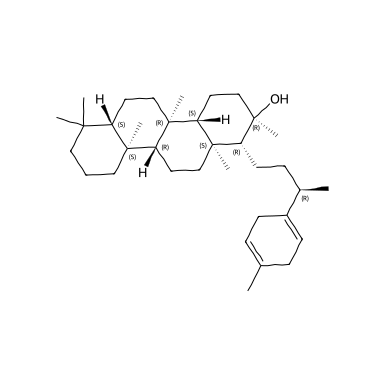 CC1=CCC([C@H](C)CC[C@@H]2[C@@]3(C)CC[C@H]4[C@@](C)(CC[C@H]5C(C)(C)CCC[C@]45C)[C@@H]3CC[C@@]2(C)O)=CC1